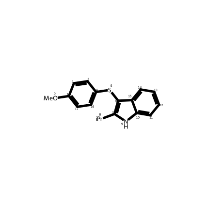 COc1ccc(Sc2c(C(C)C)[nH]c3ccccc23)cc1